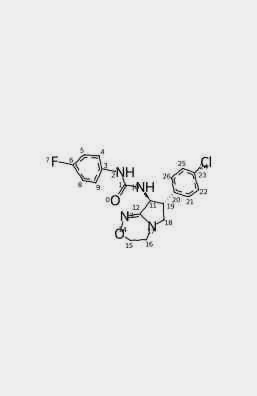 O=C(Nc1ccc(F)cc1)N[C@@H]1C2=NOCCN2C[C@H]1c1ccc(Cl)cc1